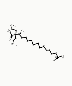 CCCC(CCC)(C(=O)O)C(C)CCCCCCCCCCCCC(=O)O